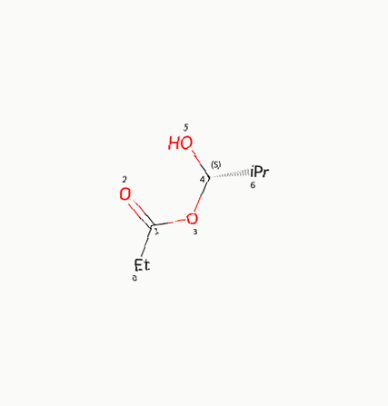 CCC(=O)O[C@H](O)C(C)C